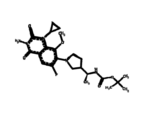 COc1c(N2CCC([C@H](C)NC(=O)OC(C)(C)C)C2)c(F)cc2c(=O)n(N)c(=O)n(C3CC3)c12